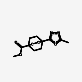 COC(=O)C12CCC(c3nnc(C)o3)(CC1)CC2